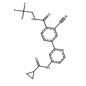 N#Cc1cc(-c2cc(NC(=O)C3CC3)ccn2)ccc1C(=O)NCC(F)(F)F